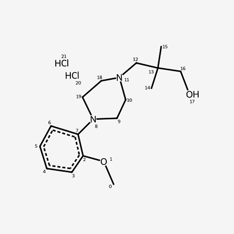 COc1ccccc1N1CCN(CC(C)(C)CO)CC1.Cl.Cl